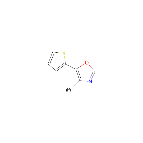 CC(C)c1ncoc1-c1cccs1